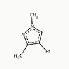 [CH2]Cc1cn(C)nc1C